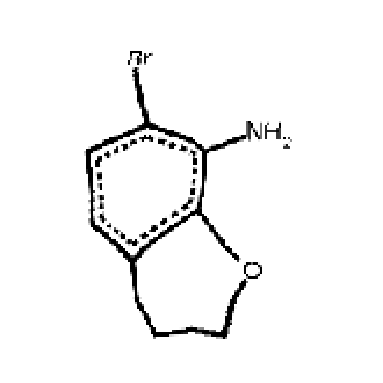 Nc1c(Br)ccc2c1OCC2